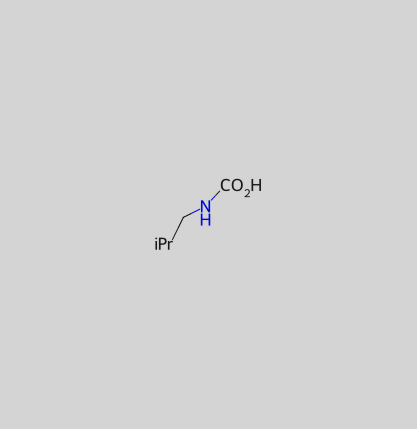 CC(C)CNC(=O)O